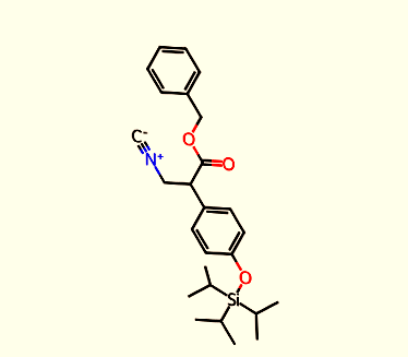 [C-]#[N+]CC(C(=O)OCc1ccccc1)c1ccc(O[Si](C(C)C)(C(C)C)C(C)C)cc1